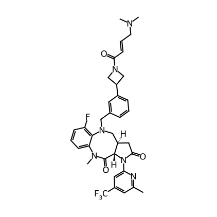 Cc1cc(C(F)(F)F)cc(N2C(=O)C[C@@H]3CN(Cc4cccc(C5CN(C(=O)/C=C/CN(C)C)C5)c4)c4c(F)cccc4N(C)C(=O)[C@H]32)n1